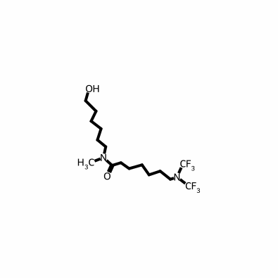 CN(CCCCCCO)C(=O)CCCCCCN(C(F)(F)F)C(F)(F)F